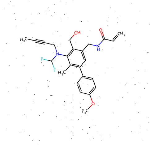 C=CC(=O)NCc1cc(-c2ccc(OC(F)(F)F)cc2)c(C)c(N(CC#CC)C(F)F)c1CO